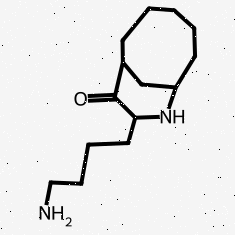 NCCCCC1NC2CCCCCC(C2)C1=O